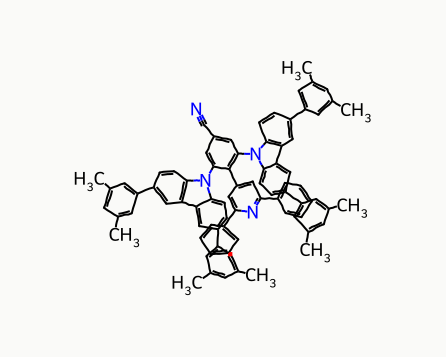 Cc1cc(C)cc(-c2ccc3c(c2)c2cc(-c4cc(C)cc(C)c4)ccc2n3-c2cc(C#N)cc(-n3c4ccc(-c5cc(C)cc(C)c5)cc4c4cc(-c5cc(C)cc(C)c5)ccc43)c2-c2cc(-c3ccccc3)nc(-c3ccccc3)c2)c1